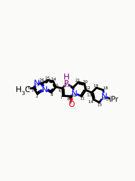 Cc1cn2cc(C3=CC(=O)N4C=C(C5=CCN(C(C)C)CC5)C=CC4P3)ccc2n1